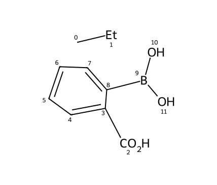 CCC.O=C(O)c1ccccc1B(O)O